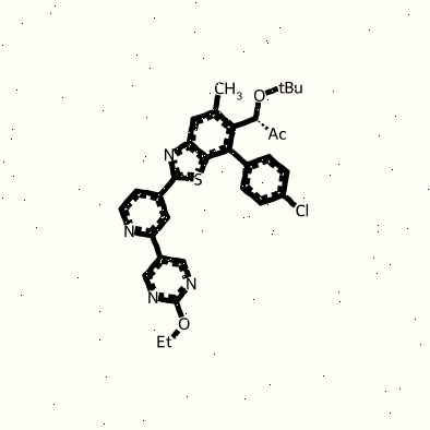 CCOc1ncc(-c2cc(-c3nc4cc(C)c([C@H](OC(C)(C)C)C(C)=O)c(-c5ccc(Cl)cc5)c4s3)ccn2)cn1